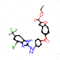 CCOC(=O)c1cc2cc(Oc3ccc(Nc4nc5c(Br)cc(C(F)(F)F)cc5[nH]4)cc3)ccc2o1